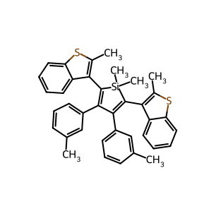 Cc1cccc(C2=C(c3c(C)sc4ccccc34)[Si](C)(C)C(c3c(C)sc4ccccc34)=C2c2cccc(C)c2)c1